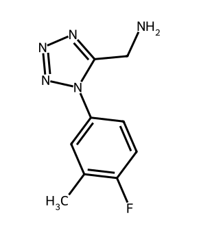 Cc1cc(-n2nnnc2CN)ccc1F